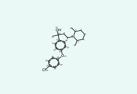 CC1CCCC(C)N1CCC(C)(O)c1ccc(Oc2ccc(Cl)cc2)cc1